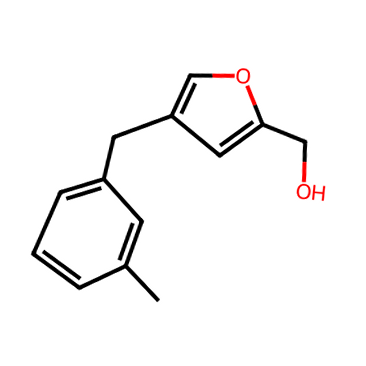 Cc1cccc(Cc2coc(CO)c2)c1